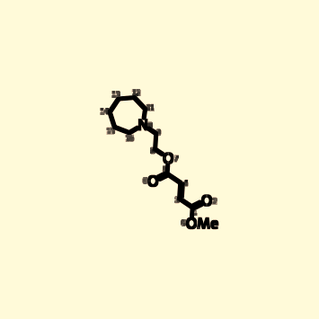 COC(=O)/C=C/C(=O)OCCN1CCCCCC1